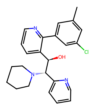 Cc1cc(Cl)cc(-c2ncccc2[C@@H](O)[C@H](c2ccccn2)N2CCCCC2)c1